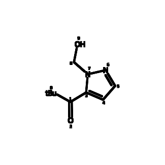 CC(C)(C)C(=O)c1ccnn1CO